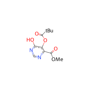 COC(=O)c1ncnc(O)c1OC(=O)C(C)(C)C